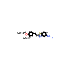 COCOc1ccc(/C=C/c2nc3cc(N)ccc3s2)cc1OC